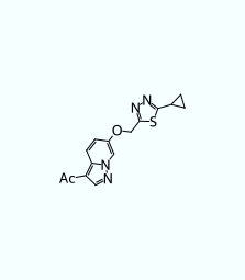 CC(=O)c1cnn2cc(OCc3nnc(C4CC4)s3)ccc12